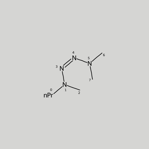 CCCN(C)/N=N\N(C)C